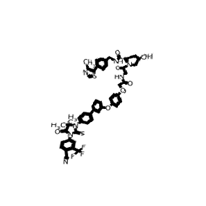 Cc1ncsc1-c1ccc(CNC(=O)[C@@H]2C[C@@H](O)CN2C(=O)CNC(=O)COc2ccc(Oc3cccc(-c4ccc(N5C(=S)N(c6ccc(C#N)c(C(F)(F)F)c6)C(=O)C5(C)C)cc4)c3)cc2)cc1